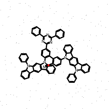 N#Cc1ccc(-n2c3ccccc3c3cc4c5ccccc5n(-c5ccccc5)c4cc32)cc1-c1cc(-c2nc(-c3ccccc3)nc(-c3ccccc3)n2)ccc1-n1c2ccccc2c2cc3c4ccccc4n(-c4ccccc4)c3cc21